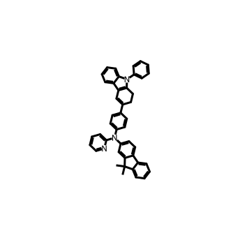 CC1(C)c2ccccc2-c2ccc(N(c3ccc(C4=Cc5c(n(-c6ccccc6)c6ccccc56)CC4)cc3)c3ccccn3)cc21